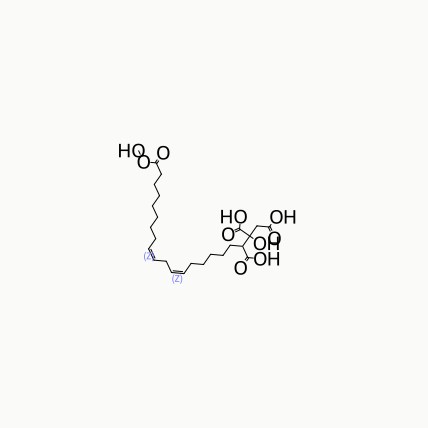 O=C(O)CC(O)(C(=O)O)C(CCCCC/C=C\C/C=C\CCCCCCCC(=O)OO)C(=O)O